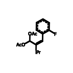 CC(=O)OC(OC(C)=O)C(=Cc1ccccc1F)C(C)C